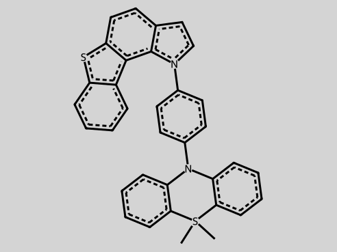 CS1(C)c2ccccc2N(c2ccc(-n3ccc4ccc5sc6ccccc6c5c43)cc2)c2ccccc21